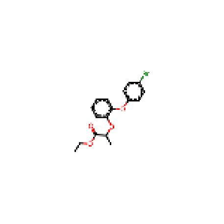 CCOC(=O)C(C)Oc1ccccc1Oc1ccc(Br)cc1